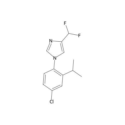 CC(C)c1cc(Cl)ccc1-n1cnc(C(F)F)c1